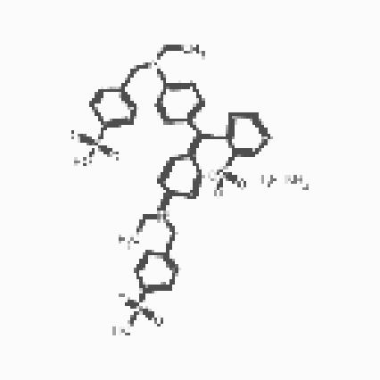 CCN(Cc1ccc(S(=O)(=O)O)cc1)c1ccc(C(=C2C=CC(=[N+](CC)Cc3ccc(S(=O)(=O)O)cc3)C=C2)c2ccccc2S(=O)(=O)[O-])cc1.N.N